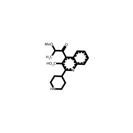 COC(C)C(=O)c1c(C(=O)O)c(C2CCNCC2)nc2ccccc12